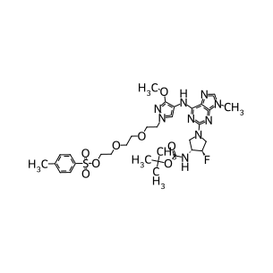 COc1nn(CCOCCOCCOS(=O)(=O)c2ccc(C)cc2)cc1Nc1nc(N2C[C@@H](F)[C@H](NC(=O)OC(C)(C)C)C2)nc2c1ncn2C